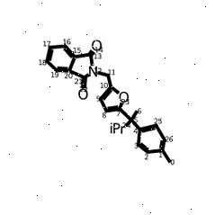 Cc1ccc(C(C)(c2ccc(CN3C(=O)c4ccccc4C3=O)o2)C(C)C)cc1